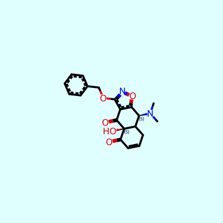 CN(C)[C@@H]1c2onc(OCc3ccccc3)c2C(=O)[C@@]2(O)C(=O)C=CCC12